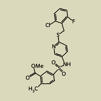 COC(=O)c1cc(S(=O)(=O)Nc2ccc(SCc3c(F)cccc3Cl)nc2)ccc1C